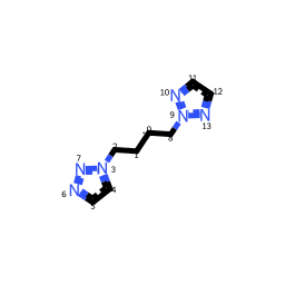 [CH](CCn1ccnn1)Cn1nccn1